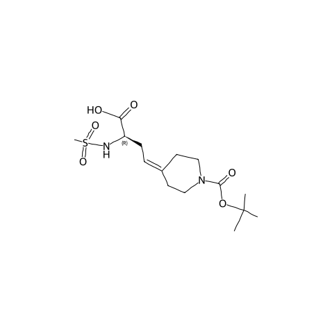 CC(C)(C)OC(=O)N1CCC(=CC[C@@H](NS(C)(=O)=O)C(=O)O)CC1